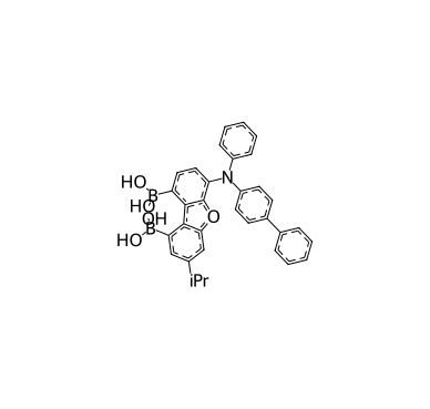 CC(C)c1cc(B(O)O)c2c(c1)oc1c(N(c3ccccc3)c3ccc(-c4ccccc4)cc3)ccc(B(O)O)c12